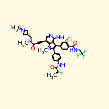 C=C(F)C(=O)Nc1ccc(-c2c(-c3ccc(C(=O)NCC(F)(F)F)c(Cl)c3)c3c(N)ncc(C#CC(=O)N(C)CC4CN(C)C4)c3n2C)cc1